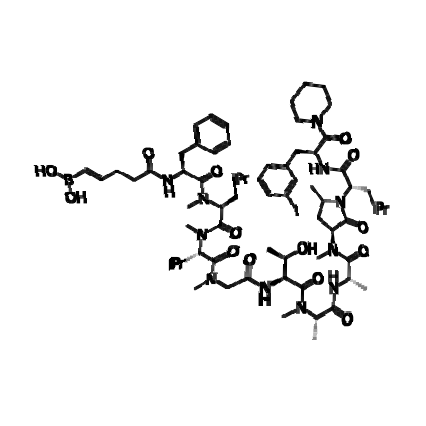 CC(C)C[C@@H](C(=O)N(C)[C@H](C(=O)N(C)CC(=O)N[C@H](C(=O)N(C)[C@@H](C)C(=O)N[C@@H](C)C(=O)N(C)[C@H]1CC(C)N([C@@H](CC(C)C)C(=O)N[C@@H](Cc2cccc(I)c2)C(=O)N2CCCCC2)C1=O)[C@@H](C)O)C(C)C)N(C)C(=O)[C@H](Cc1ccccc1)NC(=O)CC/C=C/B(O)O